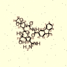 CC1(C)c2ccccc2-c2cc(C(=O)NCC(=O)N3CC4(CC3C(=O)N[C@H](CO)c3cc(C(=N)N)cs3)OCCO4)ccc21